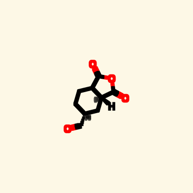 O=C[C@@H]1CCC2C(=O)OC(=O)[C@@H]2C1